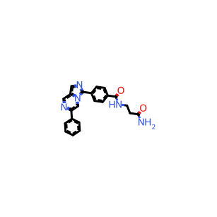 NC(=O)CCNC(=O)c1ccc(-c2ncc3cnc(-c4ccccc4)cn23)cc1